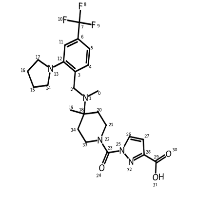 CN(Cc1ccc(C(F)(F)F)cc1N1CCCC1)C1(C)CCN(C(=O)n2ccc(C(=O)O)n2)CC1